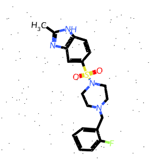 Cc1nc2cc(S(=O)(=O)N3CCN(Cc4ccccc4F)CC3)ccc2[nH]1